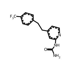 NC(=O)Nc1cc(CCc2ccc(C(F)(F)F)cc2)ccn1